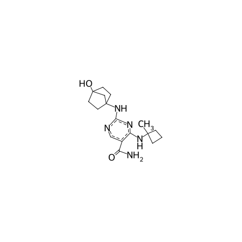 CC1(Nc2nc(NC34CCC(O)(CC3)C4)ncc2C(N)=O)CCC1